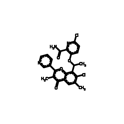 Cc1cc2c(=O)c(C)c(-c3cccnc3)oc2c(C(C)Oc2ccc(Cl)nc2C(N)=O)c1Cl